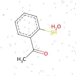 CC(=O)c1ccccc1S.O